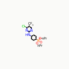 CCCOP(=O)(OCCC)c1ccc(Nc2ncc(C(F)(F)F)c(Cl)n2)cc1